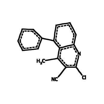 Cc1c(C#N)c(Cl)nc2cccc(-c3ccccc3)c12